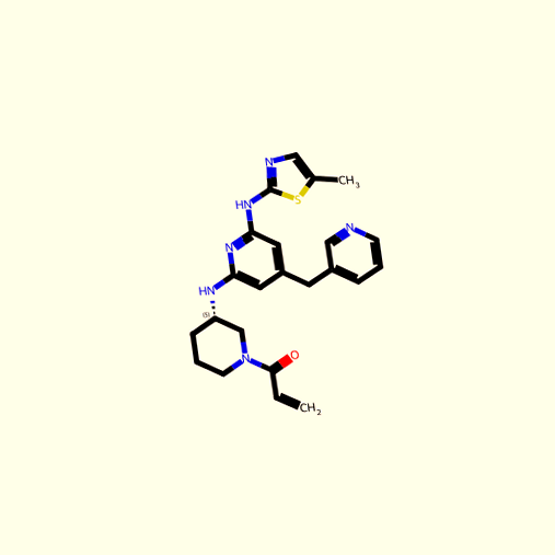 C=CC(=O)N1CCC[C@H](Nc2cc(Cc3cccnc3)cc(Nc3ncc(C)s3)n2)C1